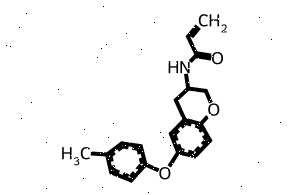 C=CC(=O)NC1COc2ccc(Oc3ccc(C)cc3)cc2C1